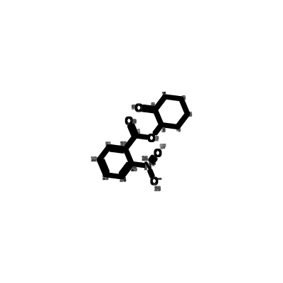 O=C(OC1CCCCC1=O)c1ccccc1[N+](=O)[O-]